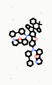 CC1(C)c2ccccc2C2(c3ccccc3-c3c2cc2oc4cc(N(c5cccc(-c6ccccc6)c5)c5cccc6c5oc5ncccc56)ccc4c2c3N(c2cccc(-c3ccccc3)c2)c2cccc3c2oc2ncccc23)c2ccccc21